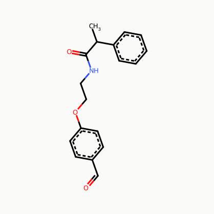 CC(C(=O)NCCOc1ccc(C=O)cc1)c1ccccc1